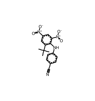 CC(C)(C)c1cc([N+](=O)[O-])cc([N+](=O)[O-])c1Nc1ccc(C#N)cc1